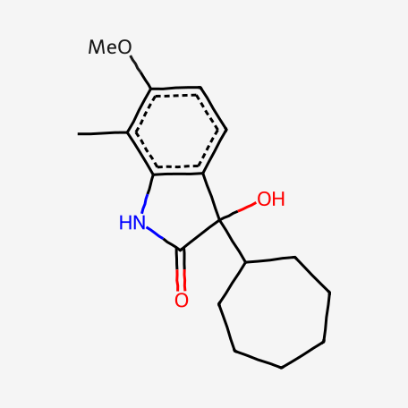 COc1ccc2c(c1C)NC(=O)C2(O)C1CCCCCC1